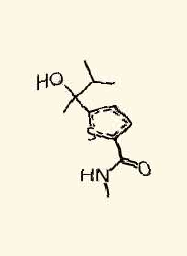 CNC(=O)c1ccc(C(C)(O)C(C)C)s1